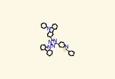 c1ccc(-c2nc3ccc(-c4nc(-c5ccc6c(c5)c5ccccc5n6-c5ccccc5)nc(-n5c6ccccc6c6ccccc65)n4)cc3s2)cc1